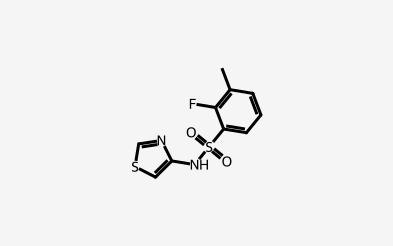 Cc1cccc(S(=O)(=O)Nc2cscn2)c1F